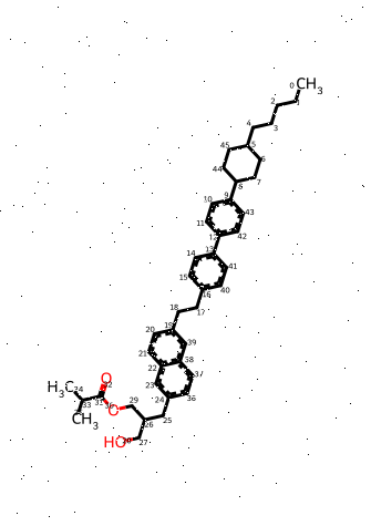 CCCCCC1CCC(c2ccc(-c3ccc(CCc4ccc5cc(CC(CO)COC(=O)C(C)C)ccc5c4)cc3)cc2)CC1